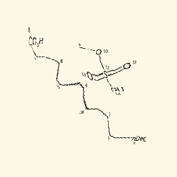 CCCCCCCCCCCCCCCCCC(=O)O.COS(=O)(=O)O